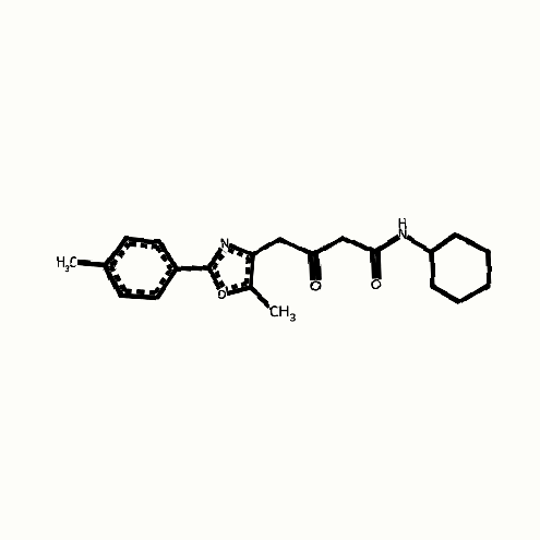 Cc1ccc(-c2nc(CC(=O)CC(=O)NC3CCCCC3)c(C)o2)cc1